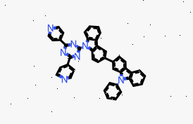 c1ccc(-n2c3ccccc3c3ccc(-c4ccc5c(c4)c4ccccc4n5-c4nc(-c5ccncc5)nc(-c5ccncc5)n4)cc32)cc1